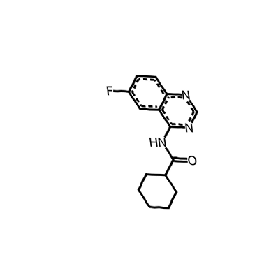 O=C(Nc1ncnc2ccc(F)cc12)C1CCCCC1